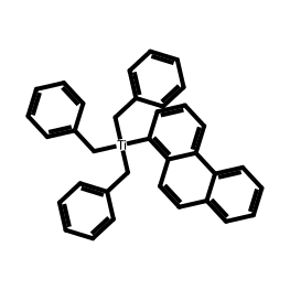 c1ccc([CH2][Ti]([CH2]c2ccccc2)([CH2]c2ccccc2)[c]2cccc3c2ccc2ccccc23)cc1